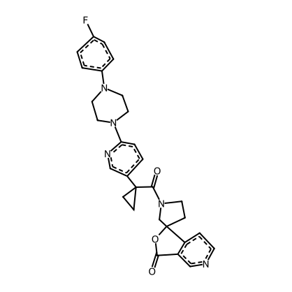 O=C1OC2(CCN(C(=O)C3(c4ccc(N5CCN(c6ccc(F)cc6)CC5)nc4)CC3)C2)c2ccncc21